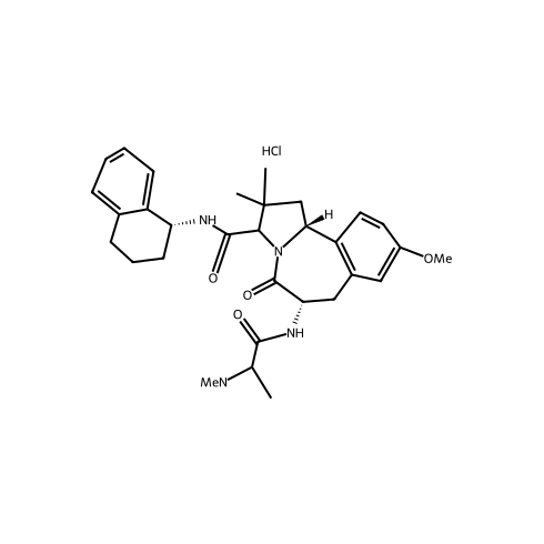 CNC(C)C(=O)N[C@H]1Cc2cc(OC)ccc2[C@H]2CC(C)(C)C(C(=O)N[C@@H]3CCCc4ccccc43)N2C1=O.Cl